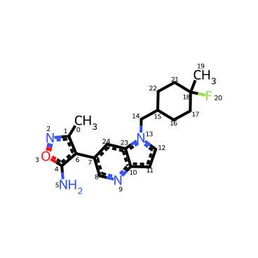 Cc1noc(N)c1-c1cnc2ccn(CC3CCC(C)(F)CC3)c2c1